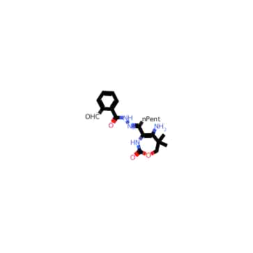 CCCCC/C(=N\NC(=O)c1ccccc1C=O)C1=C(N)C(C)(C)COC(=O)N1